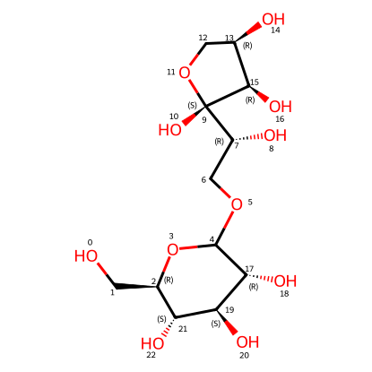 OC[C@H]1OC(OC[C@@H](O)[C@]2(O)OC[C@@H](O)[C@H]2O)[C@H](O)[C@@H](O)[C@@H]1O